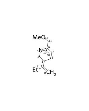 C=C(CC)C1CN2CCC1CC2COC